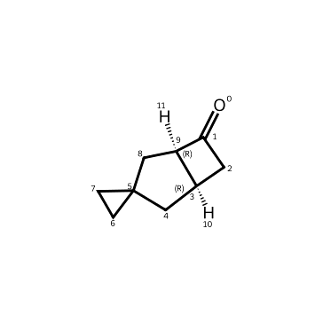 O=C1C[C@H]2CC3(CC3)C[C@@H]12